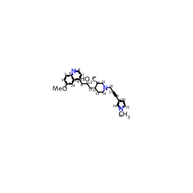 COc1ccc2nccc(CCC[C@@H]3CCN(CC#Cc4ccn(C)c4)C[C@@H]3C(=O)O)c2c1